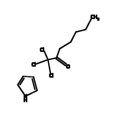 CCCCCC(=O)C(Cl)(Cl)Cl.c1cc[nH]c1